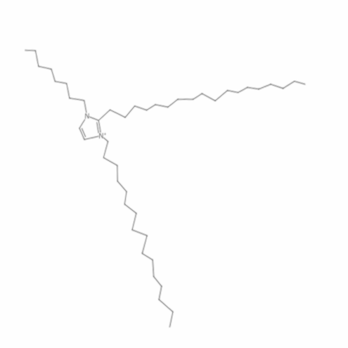 CCCCCCCCCCCCCCCCCCc1n(CCCCCCCC)cc[n+]1CCCCCCCCCCCCCCCC